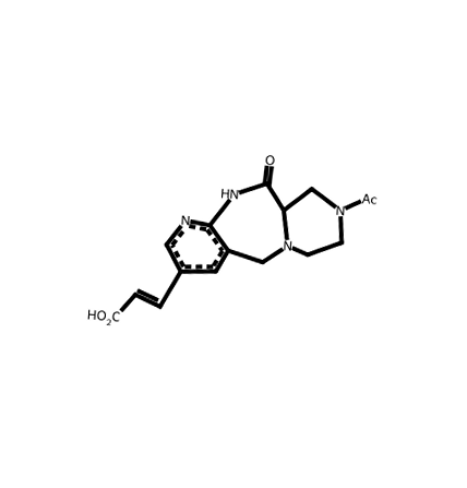 CC(=O)N1CCN2Cc3cc(/C=C/C(=O)O)cnc3NC(=O)C2C1